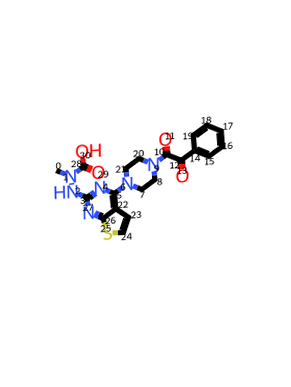 CN(Nc1nc(N2CCN(C(=O)C(=O)c3ccccc3)CC2)c2ccsc2n1)C(=O)O